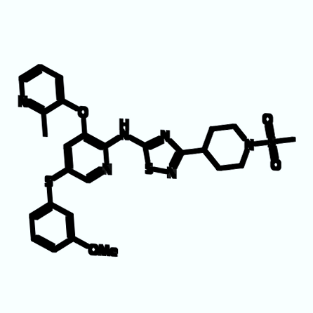 COc1cccc(Sc2cnc(Nc3nc(C4CCN(S(C)(=O)=O)CC4)ns3)c(Oc3cccnc3C)c2)c1